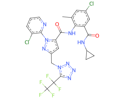 Cc1cc(Cl)cc(C(=O)NC2CC2)c1NC(=O)c1cc(Cn2nnnc2C(F)(F)C(F)(F)F)nn1-c1ncccc1Cl